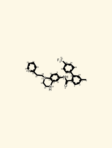 Cc1ccc(C(=O)Nc2ccc3c(c2)NCCN3CCc2ccccn2)c(-c2ccc(C(F)(F)F)cc2)c1